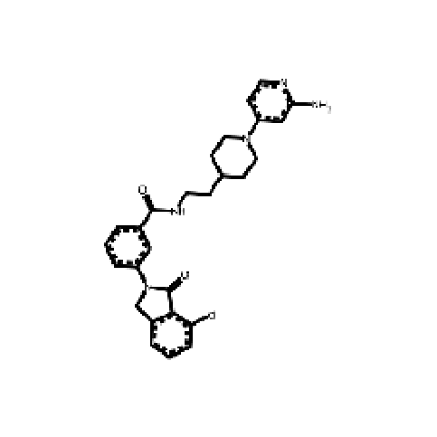 Nc1cc(N2CCC(CCNC(=O)c3cccc(N4Cc5cccc(Cl)c5C4=O)c3)CC2)ccn1